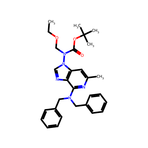 CCOCN(C(=O)OC(C)(C)C)n1cnc2c(N(Cc3ccccc3)Cc3ccccc3)nc(C)cc21